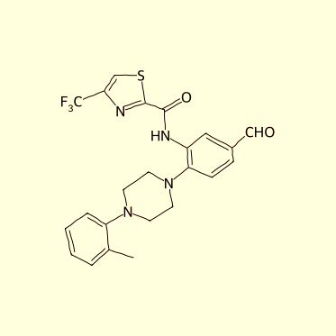 Cc1ccccc1N1CCN(c2ccc(C=O)cc2NC(=O)c2nc(C(F)(F)F)cs2)CC1